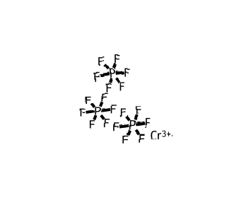 F[P-](F)(F)(F)(F)F.F[P-](F)(F)(F)(F)F.F[P-](F)(F)(F)(F)F.[Cr+3]